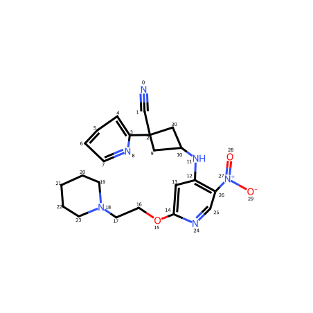 N#CC1(c2ccccn2)CC(Nc2cc(OCCN3CCCCC3)ncc2[N+](=O)[O-])C1